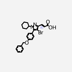 O=C(O)/C=C/c1nn(C2CCCCC2)c(-c2ccc(OCc3ccccc3)cc2)c1Br